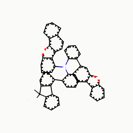 CC1(C)c2ccccc2-c2c(-c3ccccc3N(c3ccccc3-c3ccc4c(c3)oc3ccccc34)c3cccc4oc5c6ccccc6ccc5c34)cccc21